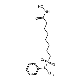 CN(c1ccccc1)S(=O)(=O)CCCCCCCC(=O)NO